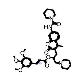 COc1cc(/C=C/C(=O)OC(Cc2c(C)c3ccc(NC(=O)N4CCCCC4)cc3oc2=O)CN2CCCCC2)cc(OC)c1OC